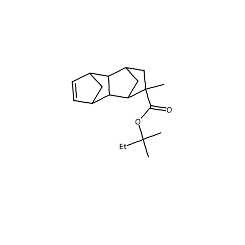 CCC(C)(C)OC(=O)C1(C)CC2CC1C1C3C=CC(C3)C21